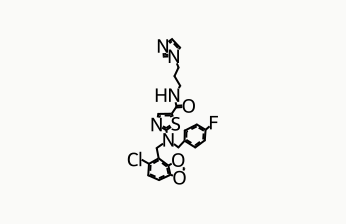 O=C(NCCCn1ccnc1)c1cnc(N(Cc2ccc(F)cc2)Cc2c(Cl)ccc3c2OCO3)s1